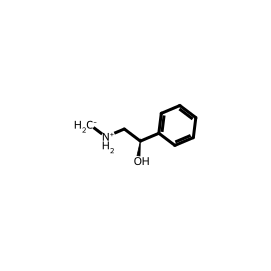 [CH2-][NH2+]C[C@H](O)c1ccccc1